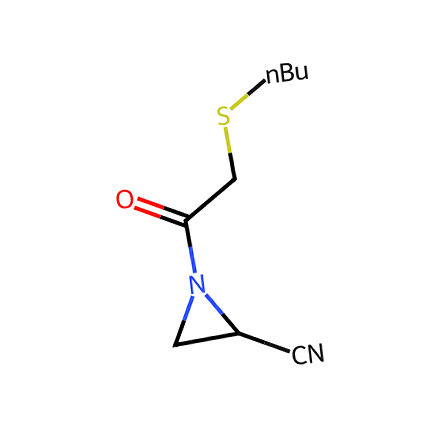 CCCCSCC(=O)N1CC1C#N